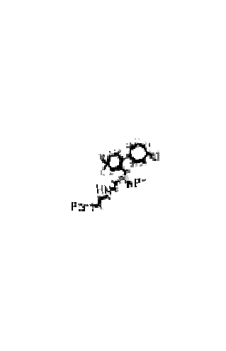 CCCC(C)CCCNCCN(CCC)CC1CC(C)(C)CC[C@@H]1C1CCCC(Cl)CC1